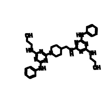 OCCNc1nc(NCC2CCN(c3nc(NCCO)nc(Nc4ccccc4)n3)CC2)nc(Nc2ccccc2)n1